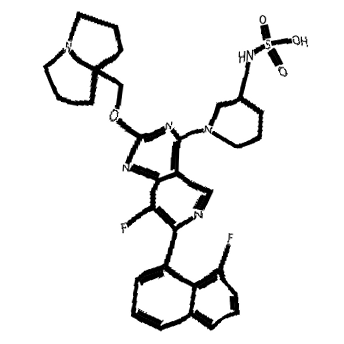 O=S(=O)(O)NC1CCCN(c2nc(OCC34CCCN3CCC4)nc3c(F)c(-c4cccc5cccc(F)c45)ncc23)C1